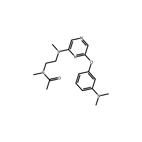 CC(=O)N(C)CCN(C)c1cncc(Oc2cccc(N(C)C)c2)n1